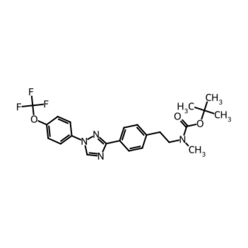 CN(CCc1ccc(-c2ncn(-c3ccc(OC(F)(F)F)cc3)n2)cc1)C(=O)OC(C)(C)C